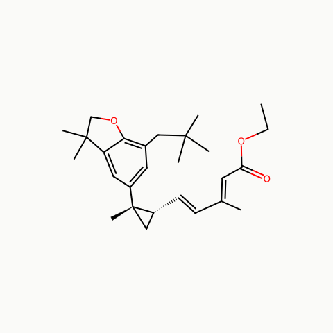 CCOC(=O)C=C(C)C=C[C@@H]1C[C@]1(C)c1cc(CC(C)(C)C)c2c(c1)C(C)(C)CO2